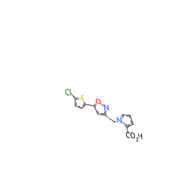 O=C(O)c1cccn1Cc1cc(-c2ccc(Cl)s2)on1